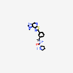 C[C@H](NC(=O)[C@@H]1CCCN1)c1cccc(-c2nc3c(ncc4ncn(C)c43)s2)c1